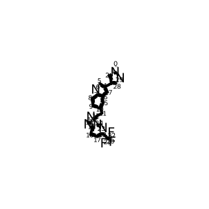 Cn1cc(-c2cnc3ccc(Cc4nnc5ccc(C(F)(F)F)nn45)cc3c2)cn1